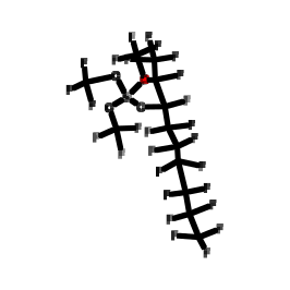 FC(F)(F)O[Si](OC(F)(F)F)(OC(F)(F)F)OC(F)(C(F)(F)C(F)(F)F)C(F)(F)C(F)(F)C(F)(F)C(F)(F)C(F)(F)C(F)(F)F